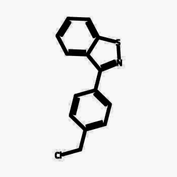 ClCc1ccc(-c2nsc3ccccc23)cc1